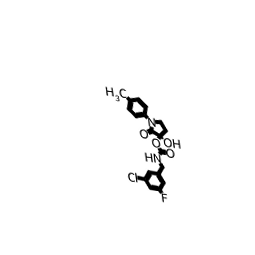 Cc1ccc(N2CC[C@](O)(OC(=O)NCc3cc(F)cc(Cl)c3)C2=O)cc1